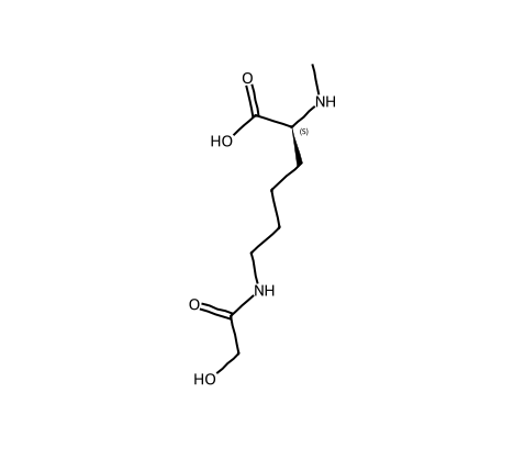 CN[C@@H](CCCCNC(=O)CO)C(=O)O